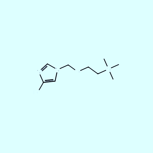 CCc1cn(COCC[Si](C)(C)C)cn1